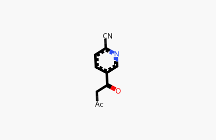 CC(=O)CC(=O)c1ccc(C#N)nc1